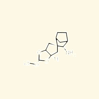 CCO[C@@H]1OC2C[C@@]3(C[C@H]2O1)C1CCC(C1)[C@H]3N